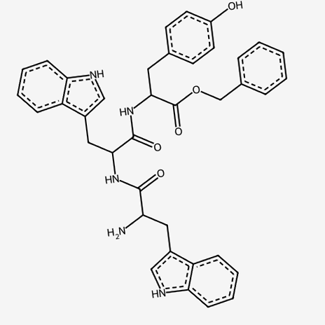 NC(Cc1c[nH]c2ccccc12)C(=O)NC(Cc1c[nH]c2ccccc12)C(=O)NC(Cc1ccc(O)cc1)C(=O)OCc1ccccc1